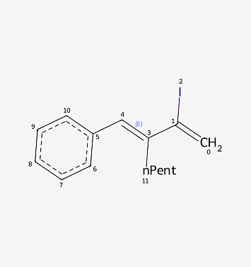 C=C(I)/C(=C/c1ccccc1)CCCCC